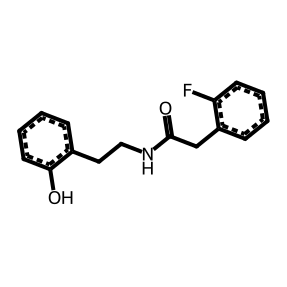 O=C(Cc1ccccc1F)NCCc1ccccc1O